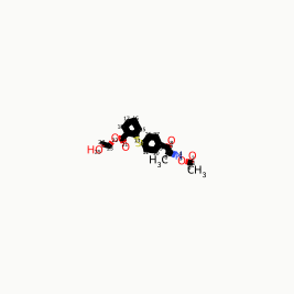 CC(=O)O/N=C(\C)C(=O)c1ccc(Sc2ccccc2C(=O)OCCO)cc1